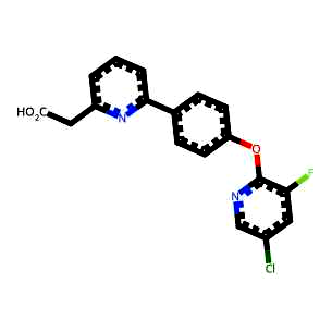 O=C(O)Cc1cccc(-c2ccc(Oc3ncc(Cl)cc3F)cc2)n1